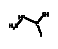 BPP(S)I